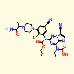 CCN(C(=O)O)c1nc(N(C(=O)OCCl)c2cc(C#N)cc(N3CCN(C(C)C(N)=O)CC3)c2Cl)nn2c(C#N)cnc12